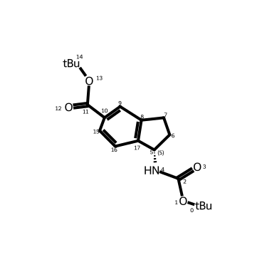 CC(C)(C)OC(=O)N[C@H]1CCc2cc(C(=O)OC(C)(C)C)ccc21